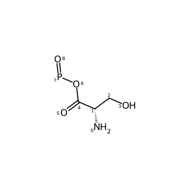 N[C@@H](CO)C(=O)OP=O